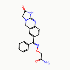 NC(=O)CON=C(c1ccccc1)c1ccc2c(c1)CN1CC(=O)NC1=N2